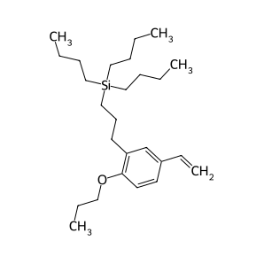 C=Cc1ccc(OCCC)c(CCC[Si](CCCC)(CCCC)CCCC)c1